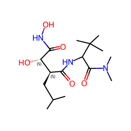 CC(C)C[C@H](C(=O)NC(C(=O)N(C)C)C(C)(C)C)[C@H](O)C(=O)NO